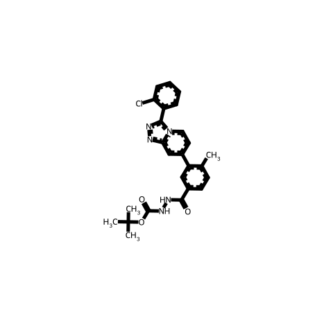 Cc1ccc(C(=O)NNC(=O)OC(C)(C)C)cc1-c1ccn2c(-c3ccccc3Cl)nnc2c1